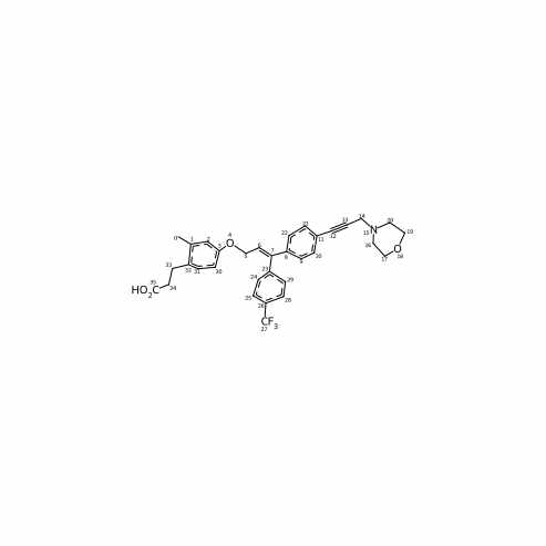 Cc1cc(OC/C=C(/c2ccc(C#CCN3CCOCC3)cc2)c2ccc(C(F)(F)F)cc2)ccc1CCC(=O)O